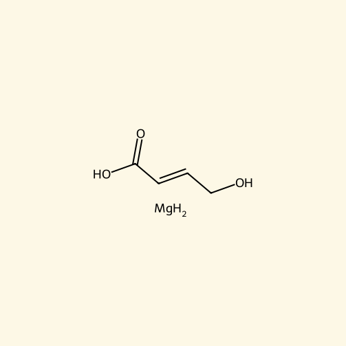 O=C(O)C=CCO.[MgH2]